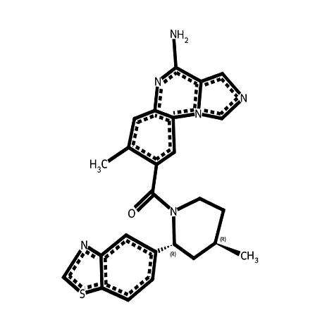 Cc1cc2nc(N)c3cncn3c2cc1C(=O)N1CC[C@@H](C)C[C@@H]1c1ccc2scnc2c1